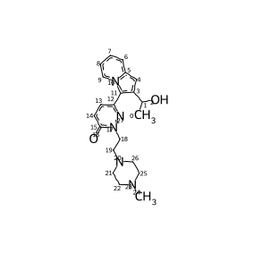 CC(O)c1cc2ccccn2c1-c1ccc(=O)n(CCN2CCN(C)CC2)n1